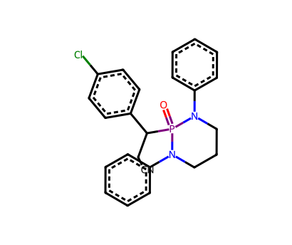 N#CCC(c1ccc(Cl)cc1)P1(=O)N(c2ccccc2)CCCN1c1ccccc1